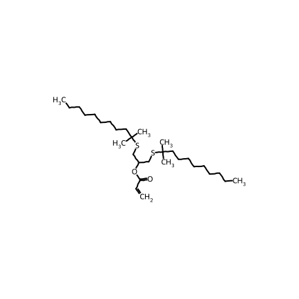 C=CC(=O)OC(CSC(C)(C)CCCCCCCCC)CSC(C)(C)CCCCCCCCC